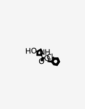 O=C(OCc1ccccc1Cl)[C@H]1C[C@@H](O)CN1